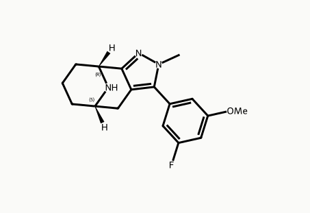 COc1cc(F)cc(-c2c3c(nn2C)[C@H]2CCC[C@@H](C3)N2)c1